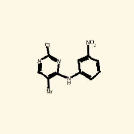 O=[N+]([O-])c1cccc(Nc2nc(Cl)ncc2Br)c1